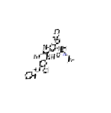 CN(C)C/C=C/C(=O)Nc1cc2c(Nc3ccc(OCc4ccccc4F)c(Cl)c3)c(C#N)cnc2cc1O[C@H]1CCOC1